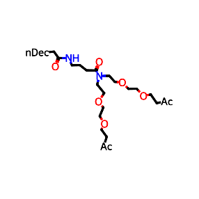 CCCCCCCCCCCC(=O)NCCCC(=O)N(CCOCCOCCC(C)=O)CCOCCOCCC(C)=O